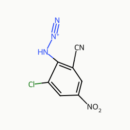 N#Cc1cc([N+](=O)[O-])cc(Cl)c1N[N+]#N